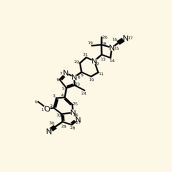 COc1cc(-c2cnn(C3CCN(C4CN(C#N)C4(C)C)CC3)c2C)cn2ncc(C#N)c12